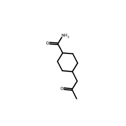 CC(=O)CC1CCC(C(N)=O)CC1